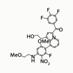 COCCNc1cc(OC)c(-c2cccn3c(C(=O)c4cc(F)c(F)c(F)c4)cc(CCO)c23)c(F)c1[N+](=O)[O-]